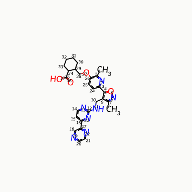 Cc1nc(-c2onc(C)c2CNc2nccc(-c3cnccn3)n2)ccc1OCC1CCCCC1C(=O)O